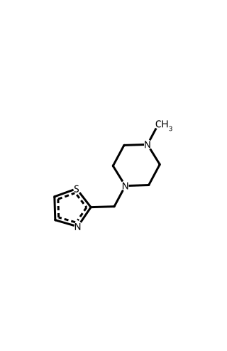 CN1CCN(Cc2nccs2)CC1